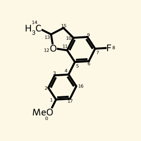 COc1ccc(-c2cc(F)cc3c2OC(C)C3)cc1